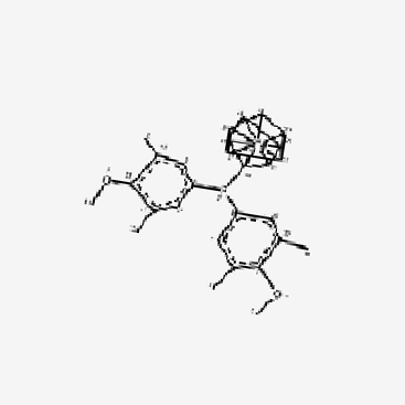 COc1c(C)cc(P(c2cc(C)c(OC)c(C)c2)[C]23[CH]4[CH]5[CH]6[CH]2[Fe]56432789[CH]3[CH]2[CH]7[CH]8[CH]39)cc1C